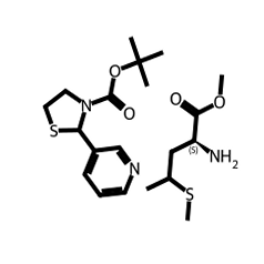 CC(C)(C)OC(=O)N1CCSC1c1cccnc1.COC(=O)[C@@H](N)CC(C)SC